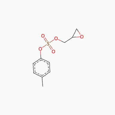 Cc1ccc(OS(=O)(=O)OCC2CO2)cc1